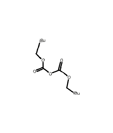 CCC(C)COC(=O)OC(=O)OCC(C)CC